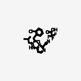 CC(C)CN(Nc1ccnc(C#N)n1)C(=O)Cc1ccccc1Cl.O=C(O)C(F)(F)F